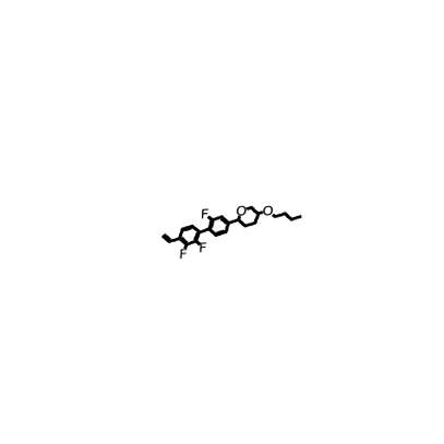 C=Cc1ccc(-c2ccc(C3CCC(OCCCC)CO3)cc2F)c(F)c1F